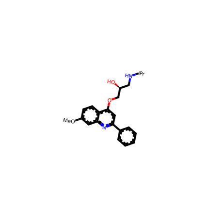 COc1ccc2c(OC[C@@H](O)CNC(C)C)cc(-c3ccccc3)nc2c1